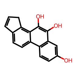 Oc1ccc2c(c1)c(O)c(O)c1c3c(ccc12)C=CC3